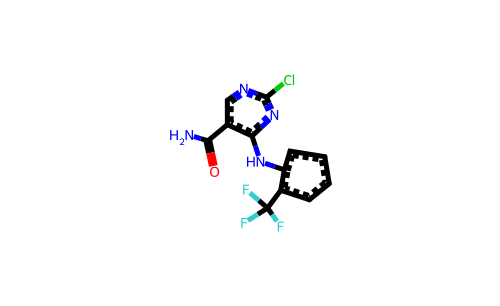 NC(=O)c1cnc(Cl)nc1Nc1ccccc1C(F)(F)F